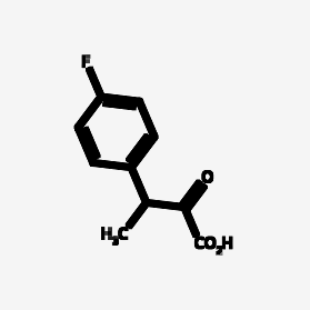 CC(C(=O)C(=O)O)c1ccc(F)cc1